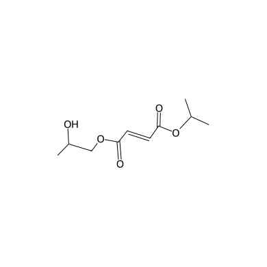 CC(O)COC(=O)C=CC(=O)OC(C)C